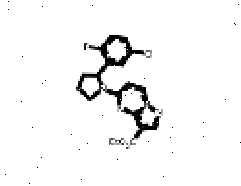 CCOC(=O)c1cnn2ccc(N3CCCC3c3cc(Cl)ccc3F)nc12